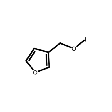 IOCc1ccoc1